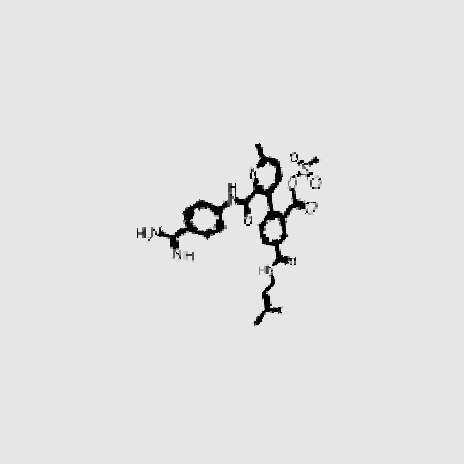 CC(C)=CCNC(=O)c1ccc(-c2ccc(C)nc2C(=O)Nc2ccc(C(=N)N)cc2)c(C(=O)OS(C)(=O)=O)c1